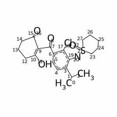 CC(C)c1ccc(C(=O)C2=C(O)CCCC2=O)c(Cl)c1N=S1(=O)CCCCC1